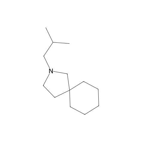 CC(C)CN1CCC2(CCCCC2)C1